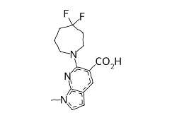 Cn1ccc2cc(C(=O)O)c(N3CCCC(F)(F)CC3)nc21